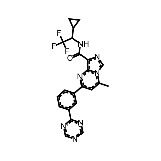 Cc1cc(-c2cccc(-c3ncncn3)c2)nc2c(C(=O)NC(C3CC3)C(F)(F)F)ncn12